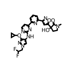 CN1CCC(O)(c2cc(-c3cccc(-c4ccnc(Nc5cn(CC(F)F)nc5OC5CC5)n4)n3)no2)C1=O